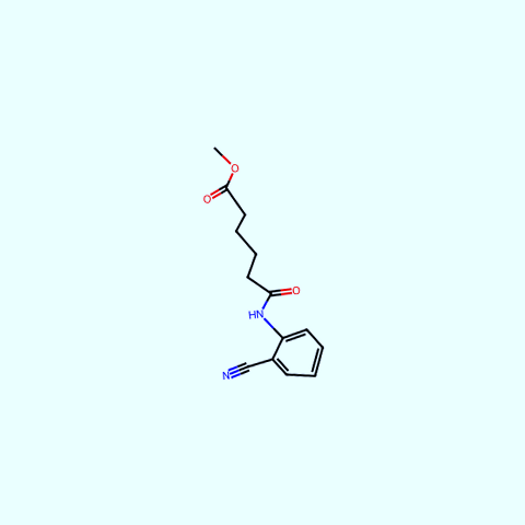 COC(=O)CCCCC(=O)Nc1ccccc1C#N